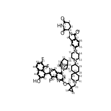 O=C1CC[C@H](N2Cc3cc(N4CCN(C5CCC6(CC5)CCN(CC5(COc7nc(N8CC9CCC(C8)N9)c8cnc(-c9cc(O)cc%10ccc(F)c(F)c9%10)c(F)c8n7)CC5)CC6)CC4)ccc3C2=O)C(=O)N1